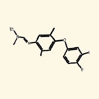 CCN(C)/C=N/c1cc(C)c(Oc2ccc(F)c(I)c2)cc1C